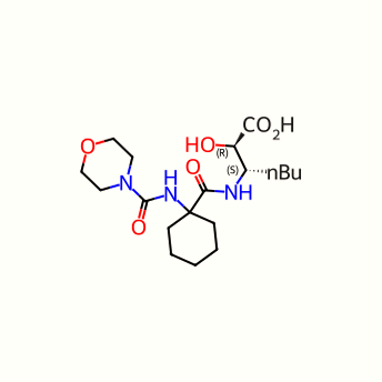 CCCC[C@H](NC(=O)C1(NC(=O)N2CCOCC2)CCCCC1)[C@@H](O)C(=O)O